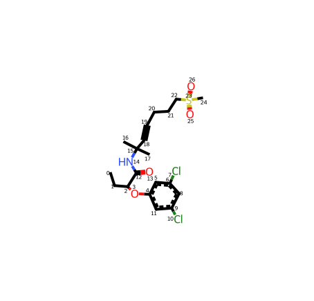 CCC(Oc1cc(Cl)cc(Cl)c1)C(=O)NC(C)(C)C#CCCCS(C)(=O)=O